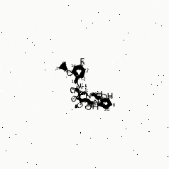 COc1c2n(cc(C(=O)NCc3ccc(F)cc3OC3CC3)c1=O)C[C@H]1O[C@@H]3CC[C@@H](C3)N1C2=O